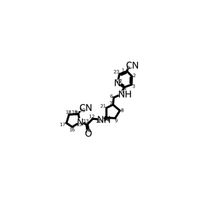 N#Cc1ccc(NCC2CC[C@@H](NCC(=O)N3CCC[C@H]3C#N)C2)nc1